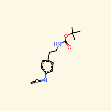 C=C=Nc1ccc(CCNC(=O)OC(C)(C)C)cc1